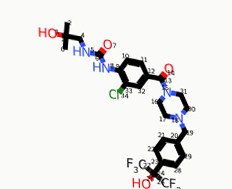 CC(C)(O)CNC(=O)Nc1ccc(C(=O)N2CCN(Cc3ccc(C(O)(C(F)(F)F)C(F)(F)F)cc3)CC2)cc1Cl